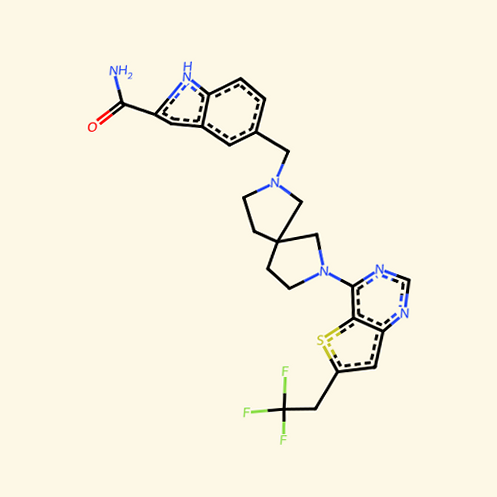 NC(=O)c1cc2cc(CN3CCC4(CCN(c5ncnc6cc(CC(F)(F)F)sc56)C4)C3)ccc2[nH]1